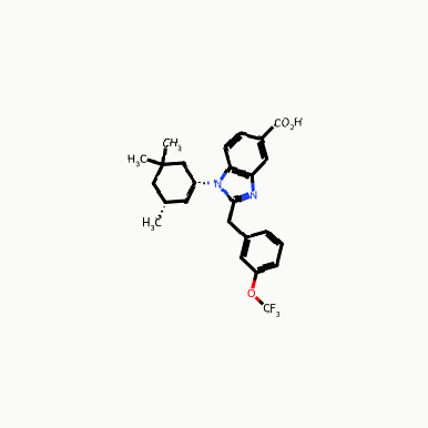 C[C@H]1C[C@@H](n2c(Cc3cccc(OC(F)(F)F)c3)nc3cc(C(=O)O)ccc32)CC(C)(C)C1